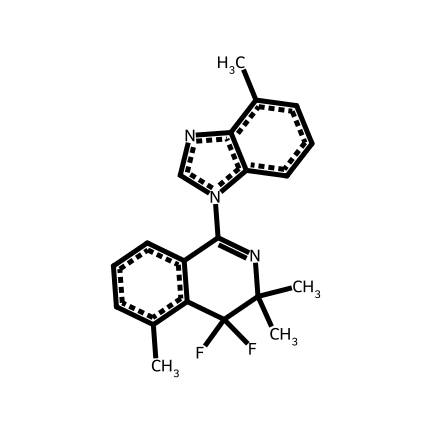 Cc1cccc2c1C(F)(F)C(C)(C)N=C2n1cnc2c(C)cccc21